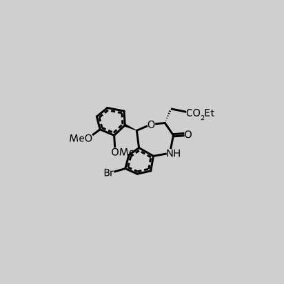 CCOC(=O)C[C@H]1O[C@H](c2cccc(OC)c2OC)c2cc(Br)ccc2NC1=O